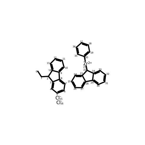 CCC1c2ccccc2-c2ccccc21.[Cl-].[Cl-].c1cc[c]([Zr+2][CH]2c3ccccc3-c3ccccc32)cc1